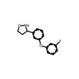 Fc1cccc(Oc2cccc(C3CCON3)c2)c1